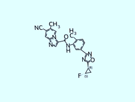 Cc1cn2c(C(=O)Nc3cc(-c4noc([C@H]5C[C@@H]5F)n4)ccc3C)cnc2cc1C#N